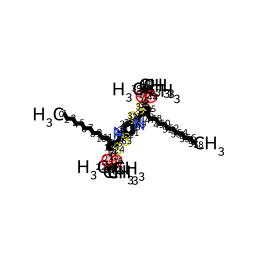 CCCCCCCCCCCCc1cc(B2OC(C)(C)C(C)(C)O2)sc1-c1nc2cc3sc(-c4sc(B5OC(C)(C)C(C)(C)O5)cc4CCCCCCCCCCCC)nc3cc2s1